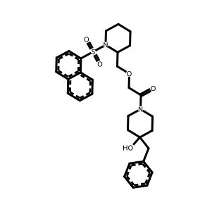 O=C(COCC1CCCCN1S(=O)(=O)c1cccc2ccccc12)N1CCC(O)(Cc2ccccc2)CC1